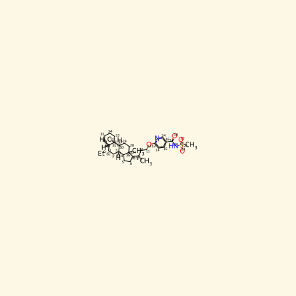 CC[C@H]1C[C@H]2C3CC[C@H]([C@H](C)CCOc4ccc(C(=O)NS(C)(=O)=O)cn4)[C@@]3(C)CC[C@@H]2[C@@]2(C)CCCC[C@@H]12